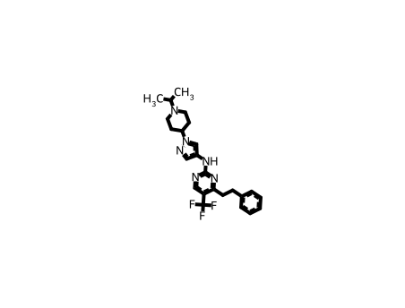 CC(C)N1CCC(n2cc(Nc3ncc(C(F)(F)F)c(CCc4ccccc4)n3)cn2)CC1